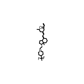 C=CCC/C(=C/C=C1\CCCC2(C)C1CC[C@@H]2CCN1CCC(C(C)(F)F)CC1)CC(C)O